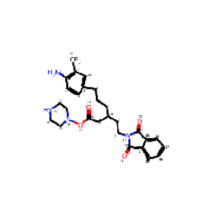 Nc1ccc(CCCC(CCN2C(=O)c3ccccc3C2=O)CC(=O)ON2CCNCC2)cc1C(F)(F)F